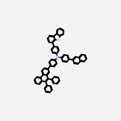 c1ccc(-c2c(-c3ccccc3)c3cc(-c4ccc(N(c5ccc(-c6ccc7ccccc7c6)cc5)c5ccc(-c6cccc7c6sc6ccccc67)cc5)cc4)ccc3c3ccccc23)cc1